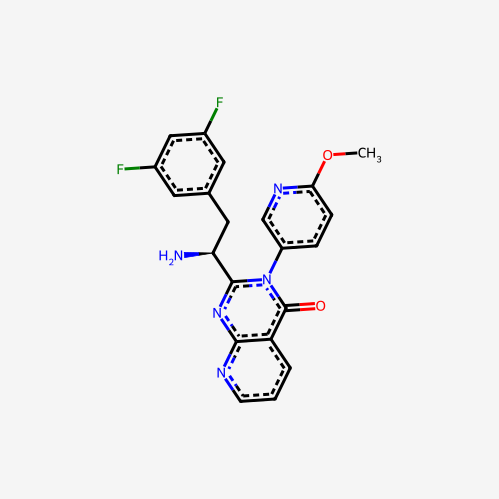 COc1ccc(-n2c([C@@H](N)Cc3cc(F)cc(F)c3)nc3ncccc3c2=O)cn1